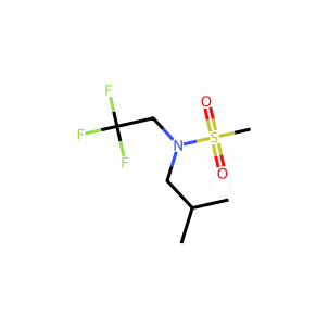 CC(C)CN(CC(F)(F)F)S(C)(=O)=O